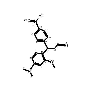 COc1cc(N(C)C)ccc1C(CC=O)c1ccc([N+](=O)[O-])cc1